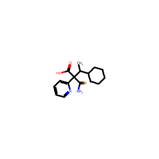 CC(C1CCCCC1)C(C(=O)O)(C(N)=S)c1ccccn1